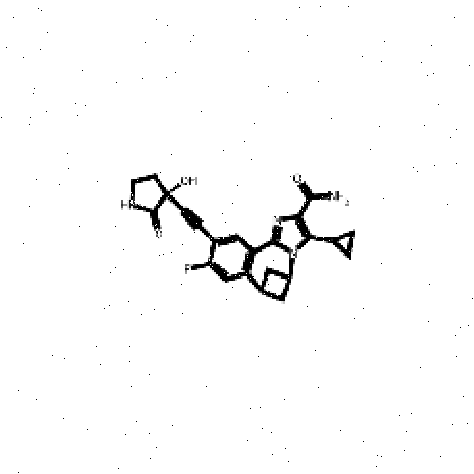 NC(=O)c1nc2n(c1C1CC1)C1CC(C1)c1cc(F)c(C#C[C@@]3(O)CCNC3=O)cc1-2